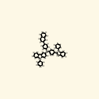 c1ccc(-n2c(-c3ccc(N(c4ccc(-c5ccc6ccccc6c5)cc4)c4ccc5c(c4)c4ccccc4n5-c4ccccc4)cc3)nc3ccccc32)cc1